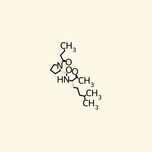 CCCC(=O)N1CCC[C@H]1C(=O)N[C@@H](CCCC(C)C)C(C)=O